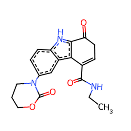 CCNC(=O)C1=CCC(=O)c2[nH]c3ccc(N4CCCOC4=O)cc3c21